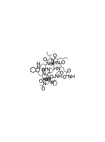 CCCCC(NC(=O)C(CCC(=O)C(=O)NC)NC(=O)CNC(=O)[C@@H]1CCCN1C(=O)CNC(C)=O)C(=O)NC(C(=O)NC(CC(C)C)C(=O)N1CCC[C@H]1C(=O)NC(Cc1c[nH]c2ccccc12)C(N)=O)C(C)CC